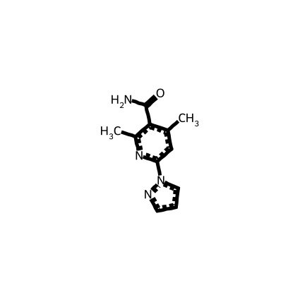 Cc1cc(-n2cccn2)nc(C)c1C(N)=O